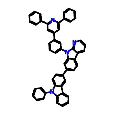 c1ccc(-c2cc(-c3cccc(-n4c5cc(-c6ccc7c(c6)c6ccccc6n7-c6ccccc6)ccc5c5cccnc54)c3)cc(-c3ccccc3)n2)cc1